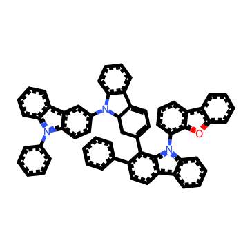 C1=C(c2c(-c3ccccc3)ccc3c4ccccc4n(-c4cccc5c4oc4ccccc45)c23)CC2C(=C1)c1ccccc1N2c1ccc2c(c1)c1ccccc1n2-c1ccccc1